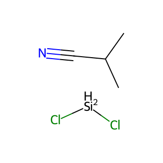 CC(C)C#N.Cl[SiH2]Cl